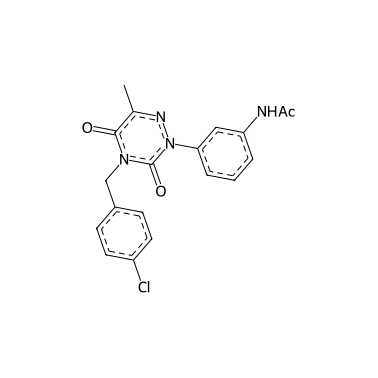 CC(=O)Nc1cccc(-n2nc(C)c(=O)n(Cc3ccc(Cl)cc3)c2=O)c1